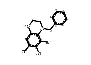 Clc1cc2c(c(Br)c1Cl)N(Cc1ccccc1)CCO2